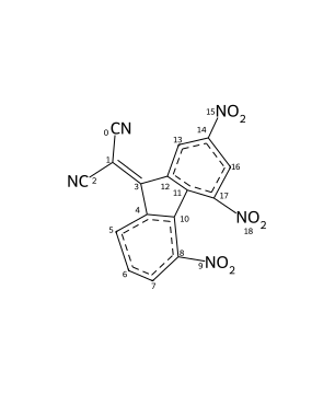 N#CC(C#N)=C1c2cccc([N+](=O)[O-])c2-c2c1cc([N+](=O)[O-])cc2[N+](=O)[O-]